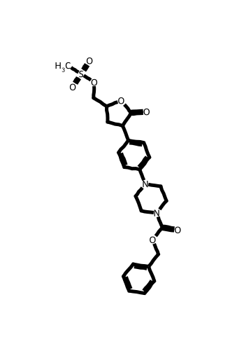 CS(=O)(=O)OCC1CC(c2ccc(N3CCN(C(=O)OCc4ccccc4)CC3)cc2)C(=O)O1